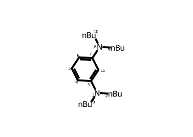 CCCCN(CCCC)c1cccc(N(CCCC)CCCC)c1